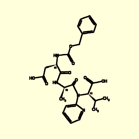 CC(C)[C@@H](C(=O)O)N(C(=O)[C@H](C)NC(=O)[C@H](CC(=O)O)NC(=O)OCc1ccccc1)c1ccccn1